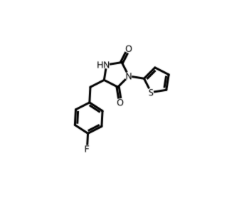 O=C1NC(Cc2ccc(F)cc2)C(=O)N1c1cccs1